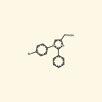 OCc1cn(-c2ccc(Br)cc2)c(-c2ccccc2)n1